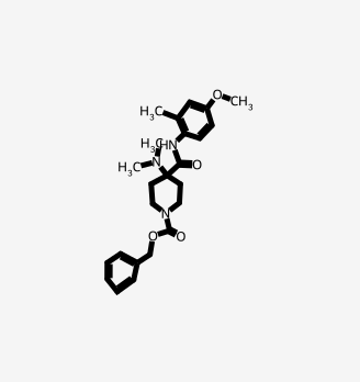 COc1ccc(NC(=O)C2(N(C)C)CCN(C(=O)OCc3ccccc3)CC2)c(C)c1